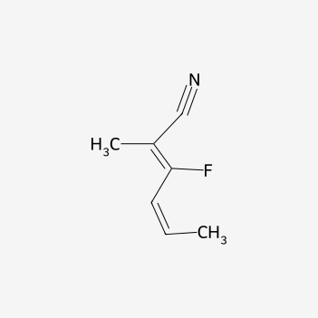 C/C=C\C(F)=C(/C)C#N